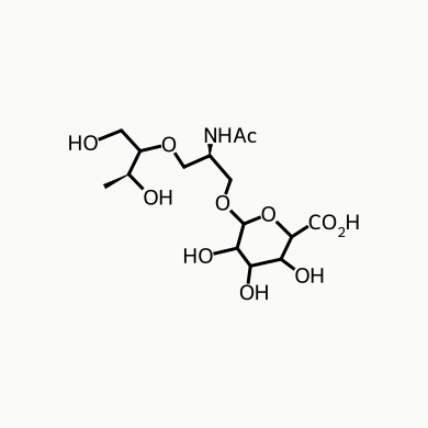 CC(=O)N[C@@H](COC1OC(C(=O)O)C(O)C(O)C1O)COC(CO)[C@H](C)O